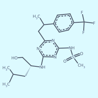 CC(C)C[C@H](CO)Nc1nc(CC(C)c2ccc(C(F)(F)F)cc2)nc(NS(C)(=O)=O)n1